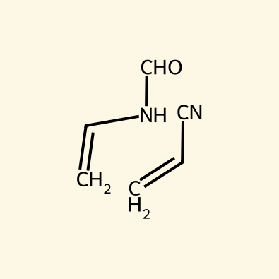 C=CC#N.C=CNC=O